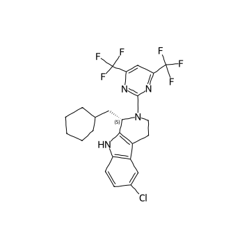 FC(F)(F)c1cc(C(F)(F)F)nc(N2CCc3c([nH]c4ccc(Cl)cc34)[C@@H]2CC2CCCCC2)n1